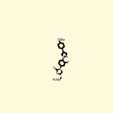 COc1ccc(-c2cnn(-c3ccc(N4C[C@H](CNC(C)=O)OC4=O)cc3F)c2)cc1